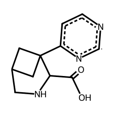 O=C(O)C1NCC2CC1(c1ccn[c]n1)C2